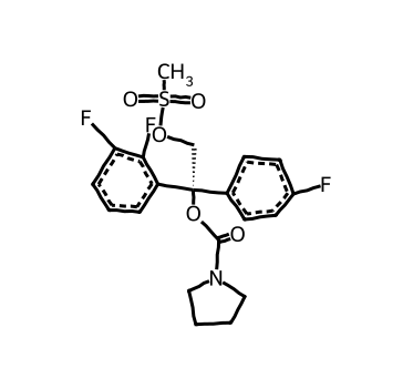 CS(=O)(=O)OC[C@@](OC(=O)N1CCCC1)(c1ccc(F)cc1)c1cccc(F)c1F